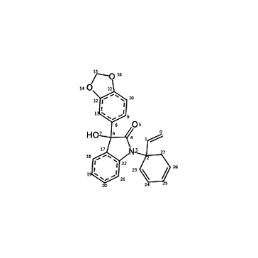 C=CC1(N2C(=O)C(O)(c3ccc4c(c3)OCO4)c3ccccc32)C=CC=CC1